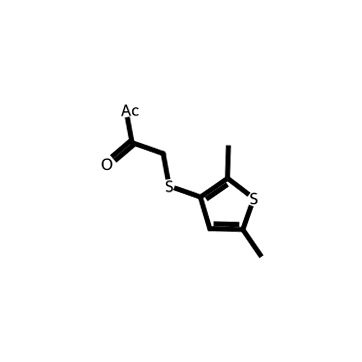 CC(=O)C(=O)CSc1cc(C)sc1C